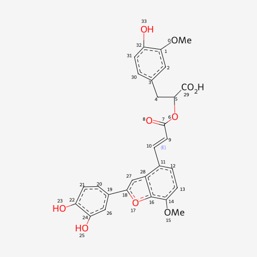 COc1cc(CC(OC(=O)/C=C/c2ccc(OC)c3oc(-c4ccc(O)c(O)c4)cc23)C(=O)O)ccc1O